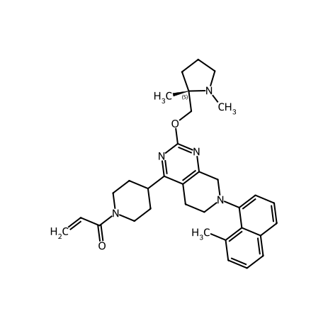 C=CC(=O)N1CCC(c2nc(OC[C@]3(C)CCCN3C)nc3c2CCN(c2cccc4cccc(C)c24)C3)CC1